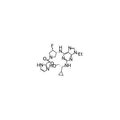 CCn1cnc2c(N[C@@H]3CN(S(=O)(=O)c4ncc[nH]4)C[C@H]3F)nc(N[C@@H](CO)C3CC3)nc21